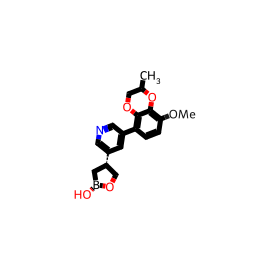 COc1ccc(-c2cncc([C@@H]3COB(O)C3)c2)c2c1OC(C)CO2